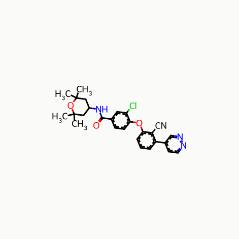 CC1(C)CC(NC(=O)c2ccc(Oc3cccc(-c4ccnnc4)c3C#N)c(Cl)c2)CC(C)(C)O1